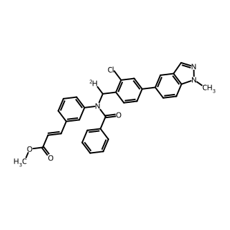 [2H]C(c1ccc(-c2ccc3c(cnn3C)c2)cc1Cl)N(C(=O)c1ccccc1)c1cccc(/C=C/C(=O)OC)c1